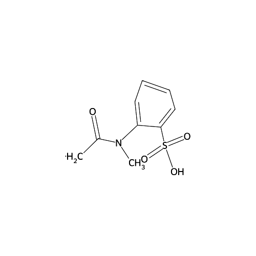 [CH2]C(=O)N(C)c1ccccc1S(=O)(=O)O